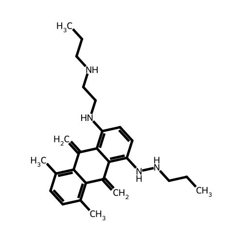 C=c1c2c(C)ccc(C)c2c(=C)c2c(NNCCC)ccc(NCCNCCC)c12